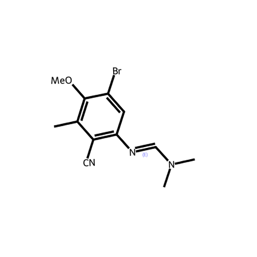 COc1c(Br)cc(/N=C/N(C)C)c(C#N)c1C